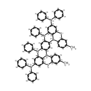 Cc1ccc2c(c1)Sc1cc(N(c3ccccc3)c3ccccc3)cc3c1B2c1cc2c(cc1N3c1ccccc1)N(c1ccccc1)c1cc(N(c3ccccc3)c3ccccc3)cc3c1B2c1ccc(C)cc1S3